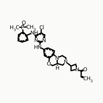 C=CC(=O)N1CC(N2CCN3c4ccc(Nc5ncc(Cl)c(Nc6ccccc6P(C)(C)=O)n5)cc4OC[C@@H]3C2)C1